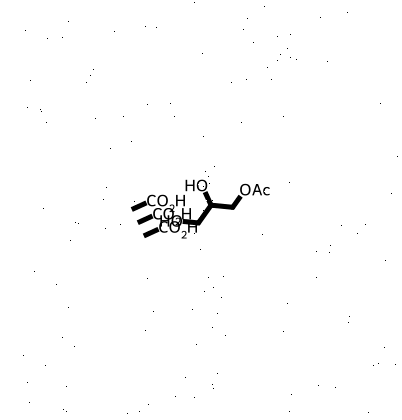 CC(=O)O.CC(=O)O.CC(=O)O.CC(=O)OCC(O)CO